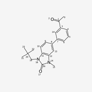 CC(=O)c1cccc(-c2ccc3c(c2)n(C)c(=O)n3CC(C)(C)C)c1